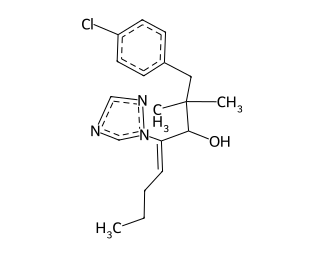 CCCC=C(C(O)C(C)(C)Cc1ccc(Cl)cc1)n1cncn1